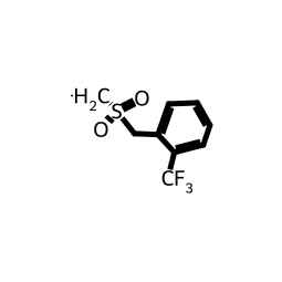 [CH2]S(=O)(=O)Cc1ccccc1C(F)(F)F